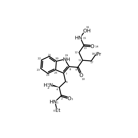 CCNC(=O)[C@@H](N)Cc1c(C(=O)C(CC(=O)NO)CC(C)C)[nH]c2ccccc12